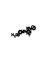 COc1cccc(CNc2nc(F)nc3c2ncn3C2CCCCO2)c1